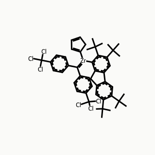 CC(C)(C)c1cc2c(cc1C(C)(C)C)-c1cc(C(C)(C)C)c(C(C)(C)C)[c]([Zr]([C]3=CC=CC3)=[C](c3ccc(C(Cl)(Cl)Cl)cc3)c3ccc(C(Cl)(Cl)Cl)cc3)c1C2